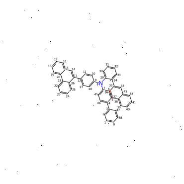 c1ccc(-c2ccc(N(c3ccc(-c4cc5ccccc5c5ccccc45)cc3)c3ccccc3-c3ccc4ccccc4c3)cc2)cc1